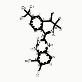 CC1c2cc(C(F)(F)F)ccc2C(c2nnc3c(F)c(F)ccc3n2)=NC1(C)C